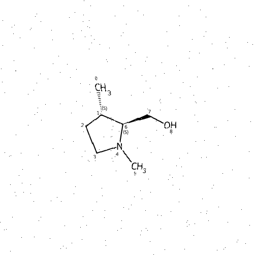 C[C@H]1CCN(C)[C@@H]1CO